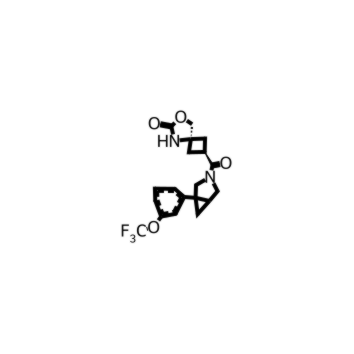 O=C1N[C@]2(CO1)C[C@H](C(=O)N1CC3CC3(c3cccc(OC(F)(F)F)c3)C1)C2